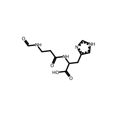 O=CNCCC(=O)NC(Cc1c[nH]cn1)C(=O)O